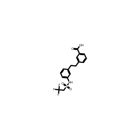 O=C(O)c1cccc(CCc2cccc(NS(=O)(=O)CC(F)(F)F)c2)c1